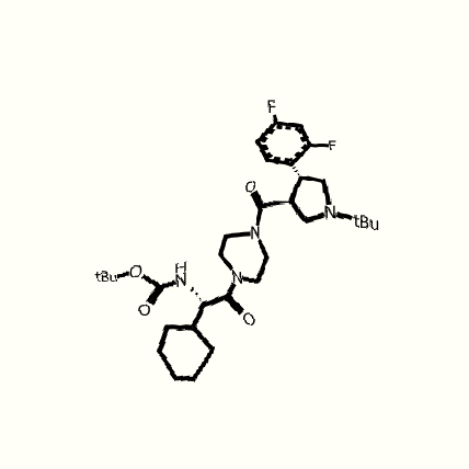 CC(C)(C)OC(=O)N[C@H](C(=O)N1CCN(C(=O)[C@@H]2CN(C(C)(C)C)C[C@H]2c2ccc(F)cc2F)CC1)C1CCCCC1